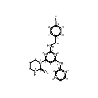 O=C1NCCCN1c1cc(Nc2cnccn2)nc(NCc2ccc(F)cc2)n1